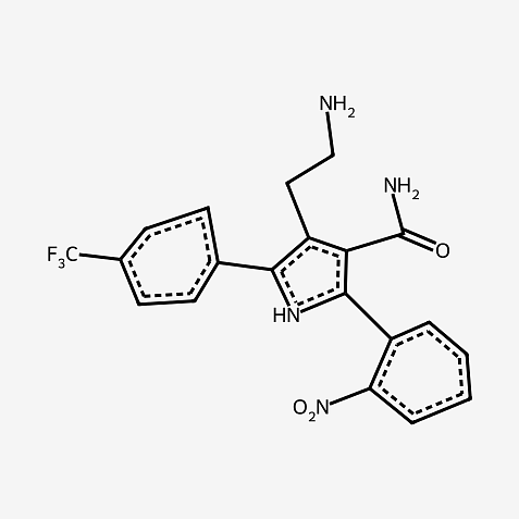 NCCc1c(-c2ccc(C(F)(F)F)cc2)[nH]c(-c2ccccc2[N+](=O)[O-])c1C(N)=O